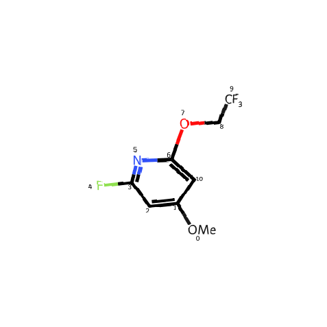 COc1cc(F)nc(OCC(F)(F)F)c1